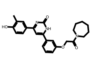 Cc1cc(-c2cc(-c3cccc(OCC(=O)N4CCCCCC4)c3)[nH]c(=O)n2)ccc1O